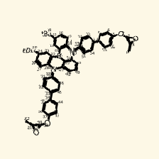 CC1OC1Oc1ccc(-c2ccc(N3c4ccc(C(C)(C)C)cc4B4c5cc(C(C)(C)C)ccc5N(c5ccc(-c6ccc(OC7OC7C)cc6)cc5)c5cccc3c54)cc2)cc1